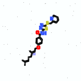 CC(C)=CCC/C(C)=C/COc1ccc(C(=O)Nc2nnc(SCc3ccccn3)s2)cc1